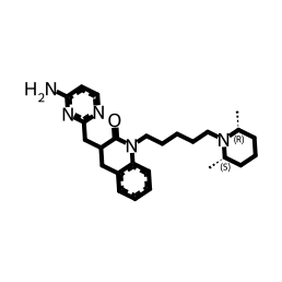 C[C@@H]1CCC[C@H](C)N1CCCCCN1C(=O)C(Cc2nccc(N)n2)Cc2ccccc21